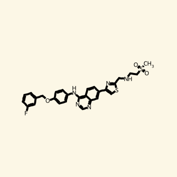 CS(=O)(=O)CCNCc1nc(-c2ccc3c(Nc4ccc(OCc5cccc(F)c5)cc4)ncnc3c2)cs1